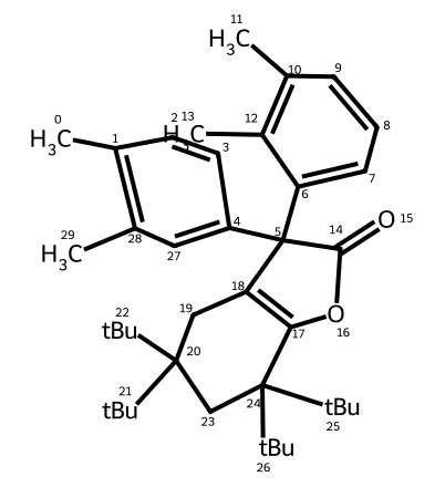 Cc1ccc(C2(c3cccc(C)c3C)C(=O)OC3=C2CC(C(C)(C)C)(C(C)(C)C)CC3(C(C)(C)C)C(C)(C)C)cc1C